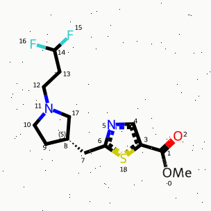 COC(=O)c1cnc(C[C@@H]2CCN(CCC(F)F)C2)s1